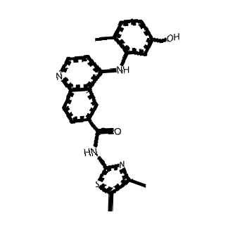 Cc1ccc(O)cc1Nc1ccnc2ccc(C(=O)Nc3nc(C)c(C)s3)cc12